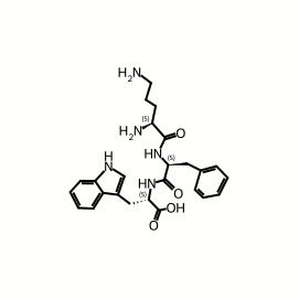 NCCC[C@H](N)C(=O)N[C@@H](Cc1ccccc1)C(=O)N[C@@H](Cc1c[nH]c2ccccc12)C(=O)O